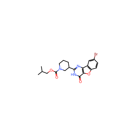 CC(C)COC(=O)N1CCCC(c2nc3c(oc4ccc(Br)cc43)c(=O)[nH]2)C1